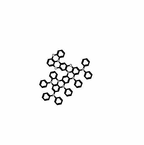 c1ccc(N(c2ccccc2)c2cc3c4c(c2)N(c2ccccc2)c2cc5c(cc2B4c2cc4c(cc2O3)N2c3ccccc3Oc3cccc(c32)O4)B2c3ccccc3N(c3ccccc3)c3cc(N(c4ccccc4)c4ccccc4)cc(c32)N5c2ccccc2)cc1